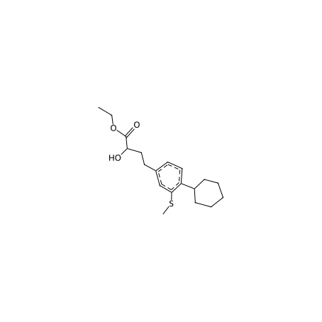 CCOC(=O)C(O)CCc1ccc(C2CCCCC2)c(SC)c1